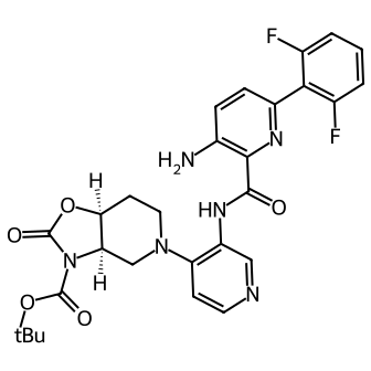 CC(C)(C)OC(=O)N1C(=O)O[C@H]2CCN(c3ccncc3NC(=O)c3nc(-c4c(F)cccc4F)ccc3N)C[C@H]21